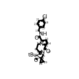 CC(C)(C)S(=O)(=O)C1(CN2CCCn3c(C(=O)NCc4ccc(Cl)cc4)ccc3C2=O)CC1